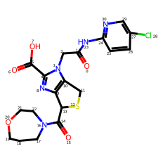 O=C(Cn1c(C(=O)O)nc2c1CSC2C(=O)N1CCCOCC1)Nc1ccc(Cl)cn1